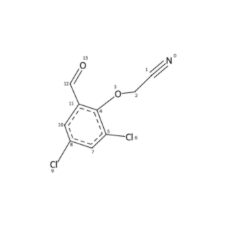 N#CCOc1c(Cl)cc(Cl)cc1C=O